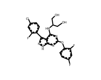 OCC(CO)Nc1nc(Oc2ccc(F)cc2F)nc2[nH]nc(-c3ccc(Cl)cc3F)c12